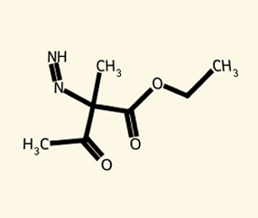 CCOC(=O)C(C)(N=N)C(C)=O